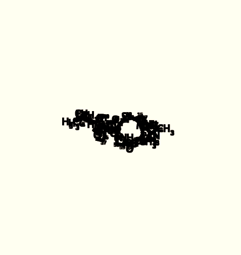 CCn1c(-c2cccnc2[C@H](C)OC)c2c3cc(ccc31)-c1csc(n1)C[C@H](NC(=O)[C@H](C(C)C)N(C)C(=O)N1CCCOC13CN(C(=O)C#CC(C)(C)N(C)C)C3)C(=O)N1CCC[C@@](O)(N1)C(=O)OCC(C)(C)C2